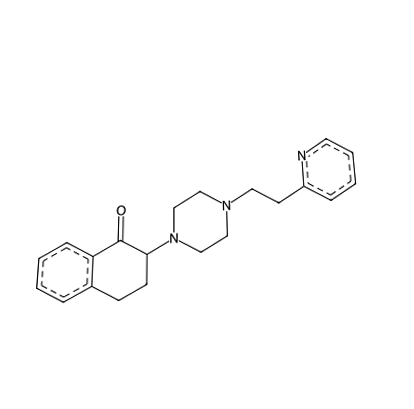 O=C1c2ccccc2CCC1N1CCN(CCc2ccccn2)CC1